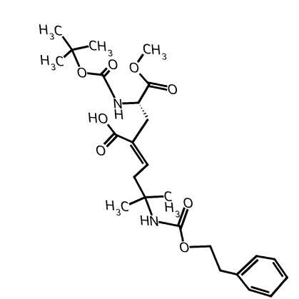 COC(=O)[C@H](C/C(=C/CC(C)(C)NC(=O)OCCc1ccccc1)C(=O)O)NC(=O)OC(C)(C)C